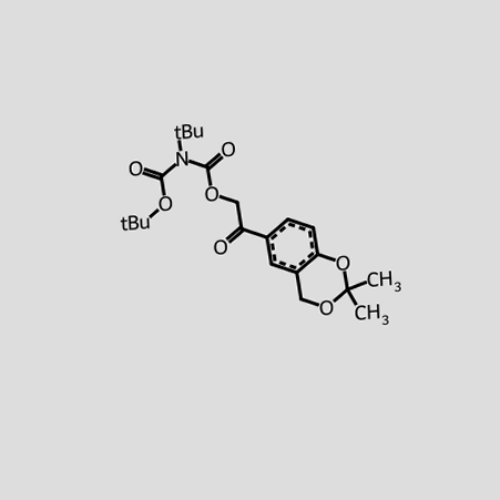 CC(C)(C)OC(=O)N(C(=O)OCC(=O)c1ccc2c(c1)COC(C)(C)O2)C(C)(C)C